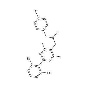 CCc1cccc(CC)c1-c1cc(C)c(CN(C)Cc2ccc(F)cc2)c(C)n1